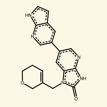 O=c1[nH]c2ncc(-c3cnc4[nH]ccc4c3)cc2n1CC1=CCCOC1